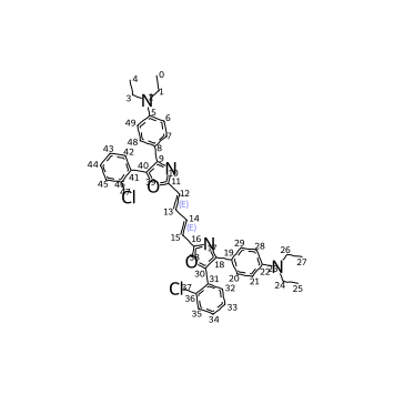 CCN(CC)c1ccc(-c2nc(/C=C/C=C/c3nc(-c4ccc(N(CC)CC)cc4)c(-c4ccccc4Cl)o3)oc2-c2ccccc2Cl)cc1